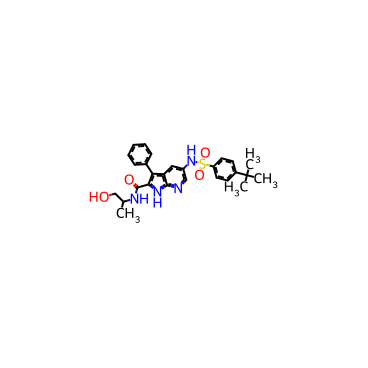 CC(CO)NC(=O)c1[nH]c2ncc(NS(=O)(=O)c3ccc(C(C)(C)C)cc3)cc2c1-c1ccccc1